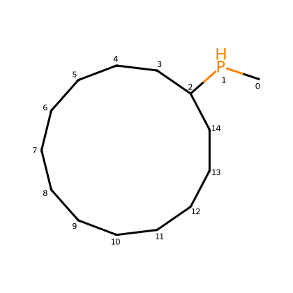 CPC1CCCCCCCCCCCC1